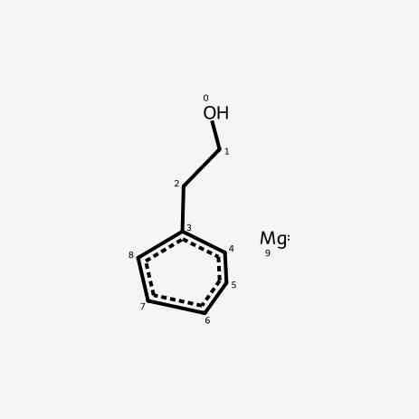 OCCc1ccccc1.[Mg]